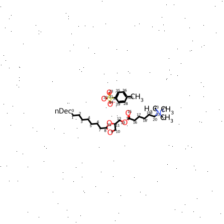 CCCCCCCCCCCCCCCCCC1OCC(COC(=O)CCCCC[N+](C)(C)C)O1.Cc1ccc(S(=O)(=O)[O-])cc1